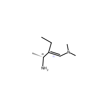 CC/C(=C\N(C)C)[C@@H](C)N